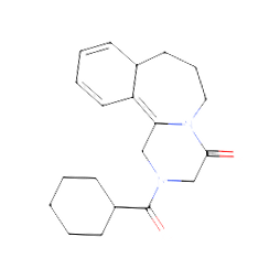 O=C(C1CCCCC1)N1CC(=O)N2CCCC3C=CC=CC3=C2C1